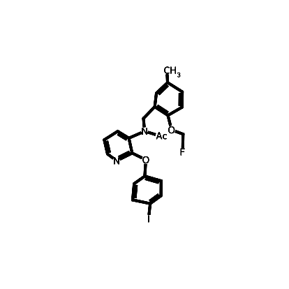 CC(=O)N(Cc1cc(C)ccc1OCF)c1cccnc1Oc1ccc(I)cc1